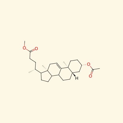 COC(=O)CC[C@@H](C)C1CCC2C3CC[C@H]4C[C@@H](OC(C)=O)CC[C@]4(C)C3=CC[C@@]21C